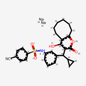 N#Cc1ccc(S(=O)(=O)Nc2cccc(C(c3c(O)c4c(oc3=O)CCCCCC4)C3CC3)c2)cc1.[Na].[Na]